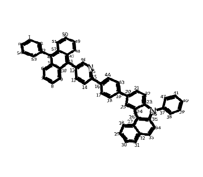 c1ccc(-c2c3ccccc3c(-c3ccc(-c4ccc(-c5ccc6c(c5)c5c7ccccc7ccc5n6-c5ccccc5)cc4)nc3)c3ccccc23)cc1